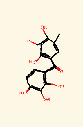 Cc1cc(C(=O)c2ccc(O)c(O)c2O)c(O)c(O)c1O